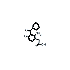 Nc1c(CC(=O)O)cccc1C(=O)c1ccccc1.[Cu]